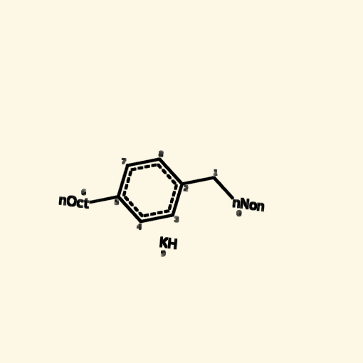 CCCCCCCCCCc1ccc(CCCCCCCC)cc1.[KH]